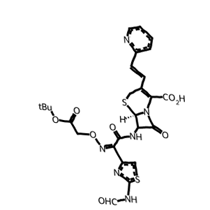 CC(C)(C)OC(=O)CO/N=C(\C(=O)NC1C(=O)N2C(C(=O)O)=C(/C=C/c3ccccn3)CS[C@H]12)c1csc(NC=O)n1